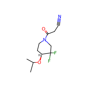 CC(C)O[C@H]1CCN(C(=O)CC#N)CC1(F)F